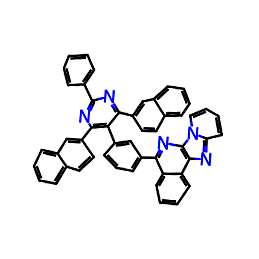 c1ccc(-c2nc(-c3ccc4ccccc4c3)c(-c3cccc(-c4nc5c(nc6ccccn65)c5ccccc45)c3)c(-c3ccc4ccccc4c3)n2)cc1